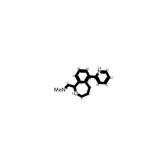 CNCC1OCCCc2c(-c3ccccn3)cccc21